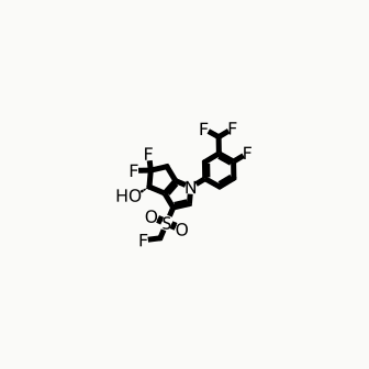 O=S(=O)(CF)c1cn(-c2ccc(F)c(C(F)F)c2)c2c1[C@H](O)C(F)(F)C2